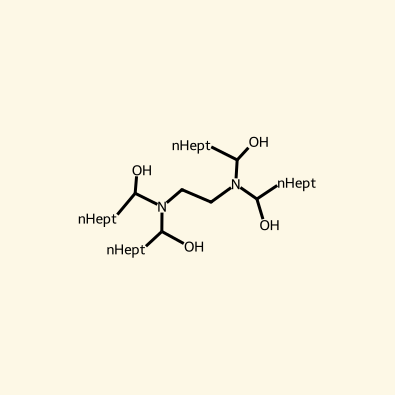 CCCCCCCC(O)N(CCN(C(O)CCCCCCC)C(O)CCCCCCC)C(O)CCCCCCC